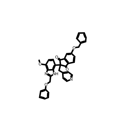 COc1ccc(C2(Cc3ccncc3)C(=O)c3ccc(OCc4ccccc4)cc3C2=O)c2[nH]c(COc3ccccc3)nc12